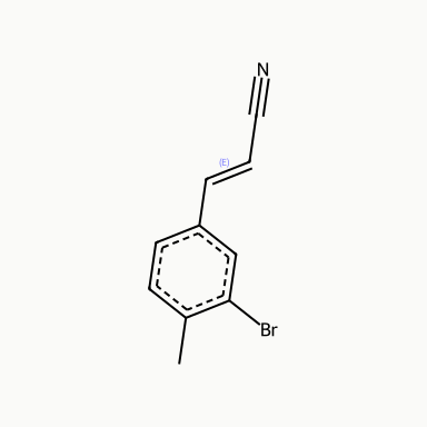 Cc1ccc(/C=C/C#N)cc1Br